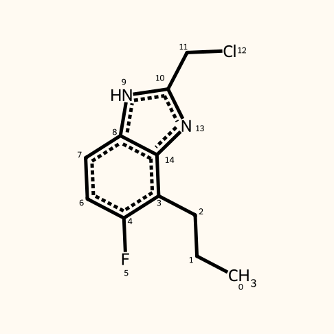 CCCc1c(F)ccc2[nH]c(CCl)nc12